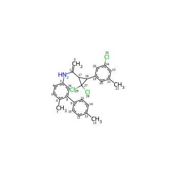 C=C(Nc1ccc(C)c(-c2ccc(C)cc2)c1)C1C(c2cc(C)cc(Cl)c2)C1(Cl)Cl